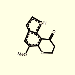 COc1cc2cc[nH]c2c2c1OCCC2=O